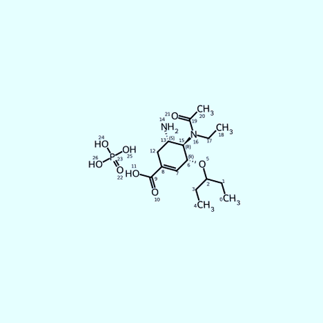 CCC(CC)O[C@@H]1C=C(C(=O)O)C[C@H](N)[C@H]1N(CC)C(C)=O.O=P(O)(O)O